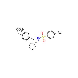 CC(=O)c1ccc(S(=O)(=O)NCC2(Cc3ccc(CC(=O)O)cc3)CCCC2)cc1